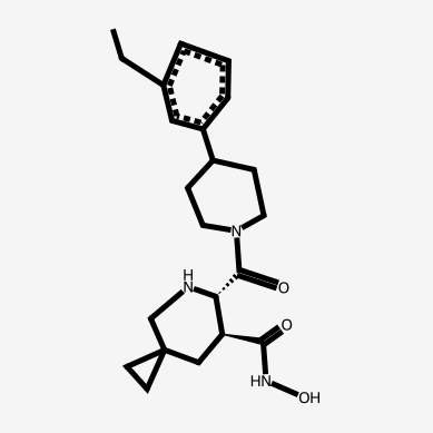 CCc1cccc(C2CCN(C(=O)[C@H]3NCC4(CC4)C[C@@H]3C(=O)NO)CC2)c1